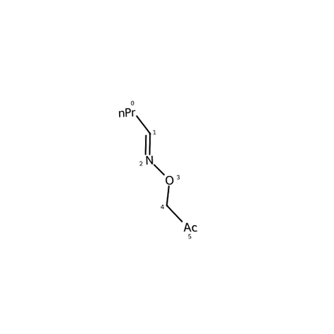 CCCC=NOCC(C)=O